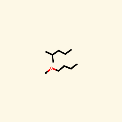 CCCC(C)C.CCCCOC